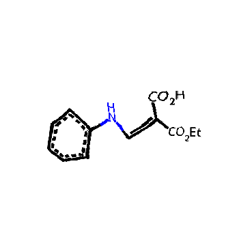 CCOC(=O)/C(=C/Nc1ccccc1)C(=O)O